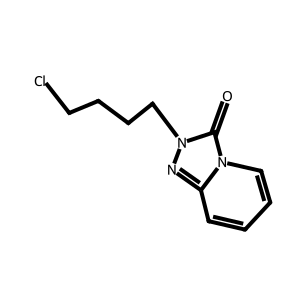 O=c1n(CCCCCl)nc2ccccn12